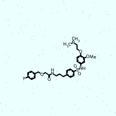 COc1cc(NS(=O)(=O)c2ccc(CCCNC(=O)COCc3ccc(F)cc3)cc2)ccc1OCCN(C)C